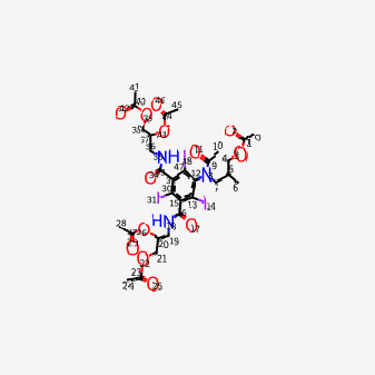 CC(=O)OCC(C)CN(C(C)=O)c1c(I)c(C(=O)NCC(COC(C)=O)OC(C)=O)c(I)c(C(=O)NCC(COC(C)=O)OC(C)=O)c1I